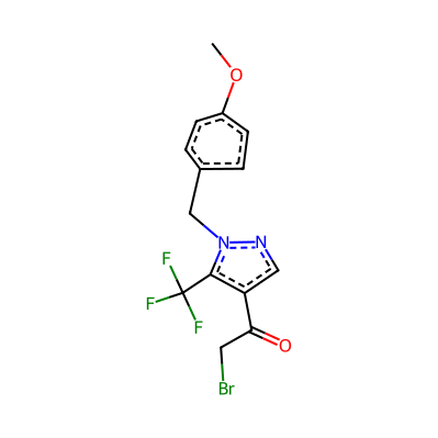 COc1ccc(Cn2ncc(C(=O)CBr)c2C(F)(F)F)cc1